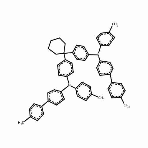 Cc1ccc(-c2ccc(N(c3ccc(C)cc3)c3ccc(C4(c5ccc(N(c6ccc(C)cc6)c6ccc(-c7ccc(C)cc7)cc6)cc5)CCCCC4)cc3)cc2)cc1